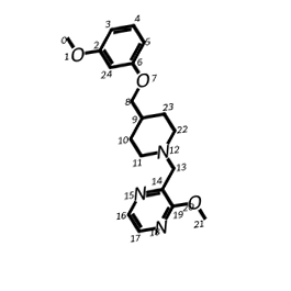 COc1cccc(OCC2CCN(Cc3nccnc3OC)CC2)c1